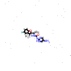 Cc1c(C(NC(=O)Nc2ncc(N)cn2)C(C)(C)C)oc2ccc(F)cc12